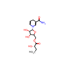 NC(=O)C1=CN([C@@H]2OC(COC(=O)[C@@H](O)CC(=O)O)[C@@H](O)[C@H]2O)C=CC1